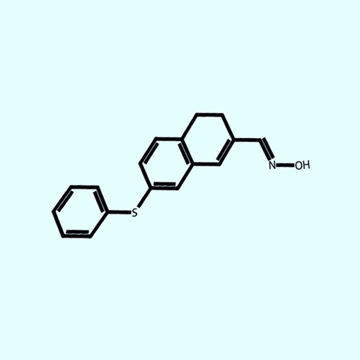 ON=CC1=Cc2cc(Sc3ccccc3)ccc2CC1